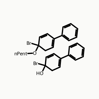 CCCCCOC1(Br)C=CC(c2ccccc2)=CC1.OC1(Br)C=CC(c2ccccc2)=CC1